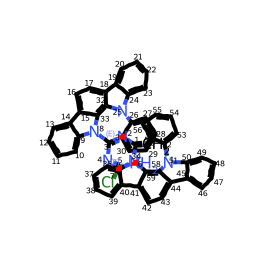 C=C(/N=C(\N=C(/N)Cl)n1c2ccccc2c2ccc3c4ccccc4n(-c4ccccc4)c3c21)n1c2ccccc2c2ccc3c4ccccc4n(-c4ccccc4)c3c21